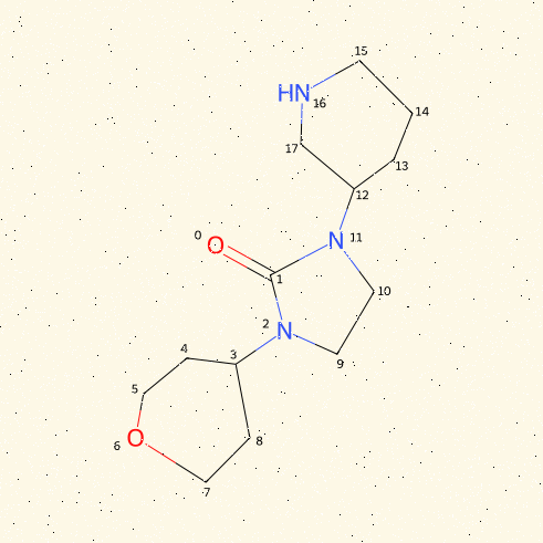 O=C1N(C2CCOCC2)CCN1C1CCCNC1